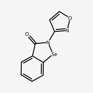 O=c1c2ccccc2[se]n1-c1ccon1